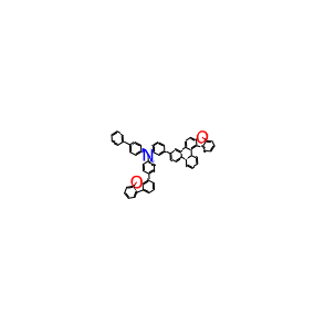 C1=CC2c3ccc(-c4cccc(N(c5ccc(-c6ccccc6)cc5)c5ccc(-c6cccc7c6oc6ccccc67)cc5)c4)cc3-c3ccc4oc5ccccc5c4c3C2C=C1